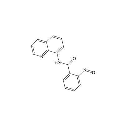 O=Nc1ccccc1C(=O)Nc1cccc2cccnc12